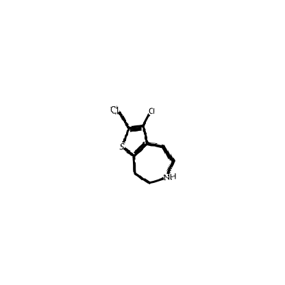 Clc1sc2c(c1Cl)CCNCC2